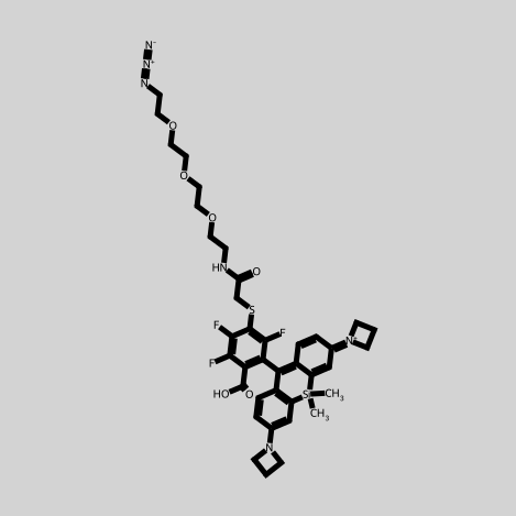 C[Si]1(C)C2=CC(=[N+]3CCC3)C=CC2=C(c2c(F)c(SCC(=O)NCCOCCOCCOCCN=[N+]=[N-])c(F)c(F)c2C(=O)O)c2ccc(N3CCC3)cc21